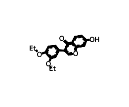 CCOc1ccc(-c2coc3cc(O)ccc3c2=O)cc1OCC